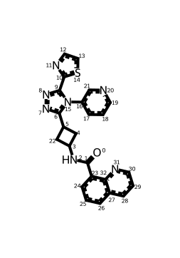 O=C(NC1CC(c2nnc(-c3nccs3)n2-c2cccnc2)C1)c1cccc2cccnc12